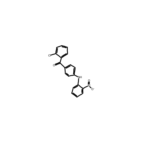 O=C(c1ccc(Nc2ccccc2[N+](=O)[O-])cc1)c1ccccc1Cl